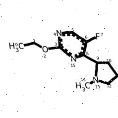 CCOc1ncc(F)c(C2CCCN2C)n1